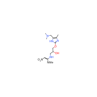 CNC(=C[N+](=O)[O-])NCC(O)COc1nc(C)c(CN(C)C)[nH]1